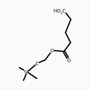 C[Si](C)(C)CCOC(=O)CCCC(=O)O